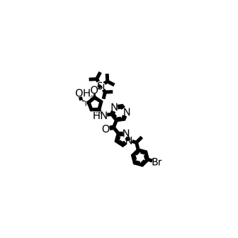 CC(c1cccc(Br)c1)n1ccc(C(=O)c2cncnc2N[C@@H]2C[C@H](CO)[C@@H](O[Si](C(C)C)(C(C)C)C(C)C)C2)n1